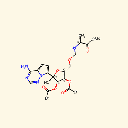 CCC(=O)O[C@H]1[C@@H](OC(=O)CC)[C@](C#N)(c2ccc3c(N)ncnn23)O[C@@H]1COCN[C@@H](C)C(=O)OC